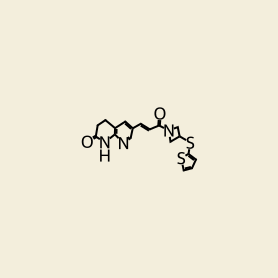 O=C1CCc2cc(/C=C/C(=O)N3CC(Sc4cccs4)C3)cnc2N1